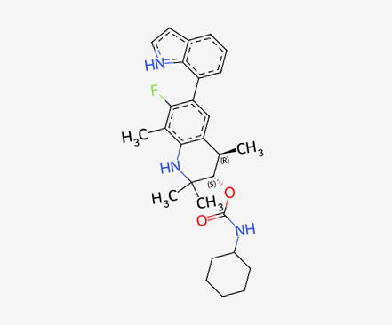 Cc1c(F)c(-c2cccc3cc[nH]c23)cc2c1NC(C)(C)[C@@H](OC(=O)NC1CCCCC1)[C@@H]2C